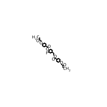 C=CC(=O)COc1ccc(C(=O)OCCc2ccc(OC(=O)c3ccc(OCC(=O)C=C)cc3)c(F)c2)cc1